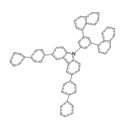 c1ccc(-c2ccc(-c3ccc4c(c3)c3cc(-c5ccc(-c6ccccc6)cc5)ccc3n4-c3cc(-c4cccc5ccccc45)cc(-c4cccc5ccccc45)c3)cc2)cc1